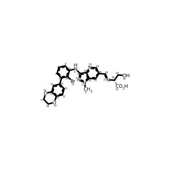 Cn1nc(Nc2cccc(-c3ccc4c(c3)OCCO4)c2Br)c2ncc(C=N[C@H](CO)C(=O)O)cc21